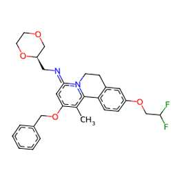 Cc1c(OCc2ccccc2)cc(=NC[C@@H]2COCCO2)n2c1-c1ccc(OCC(F)F)cc1CC2